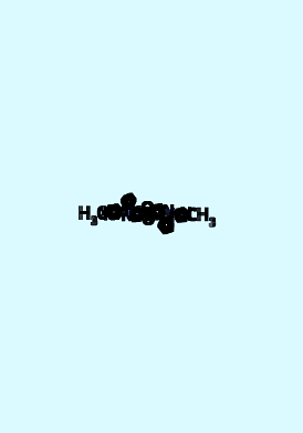 CN1CCN(/C(=N/c2ccc(S(=O)(=O)c3ccc(/N=C(\c4ccccc4)N4CCN(C)CC4)cc3)cc2)c2ccccc2)CC1